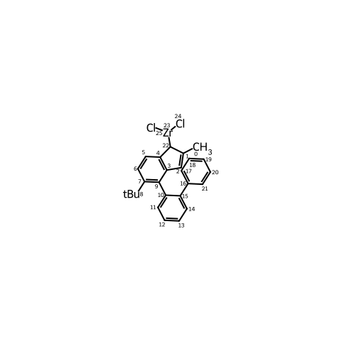 CC1=Cc2c(ccc(C(C)(C)C)c2-c2ccccc2-c2ccccc2)[CH]1[Zr]([Cl])[Cl]